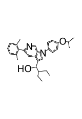 CCC(CC)C(O)c1cn(-c2ccc(OC(C)C)cc2)c2cnc(-c3c(C)cccc3C)cc12